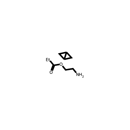 C1C2CC12.CCC(=O)OCCN